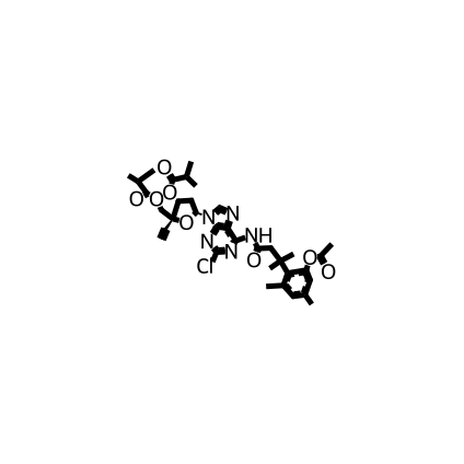 C#C[C@]1(COC(=O)C(C)C)O[C@@H](n2cnc3c(NC(=O)CC(C)(C)c4c(C)cc(C)cc4OC(C)=O)nc(Cl)nc32)C[C@@H]1OC(=O)C(C)C